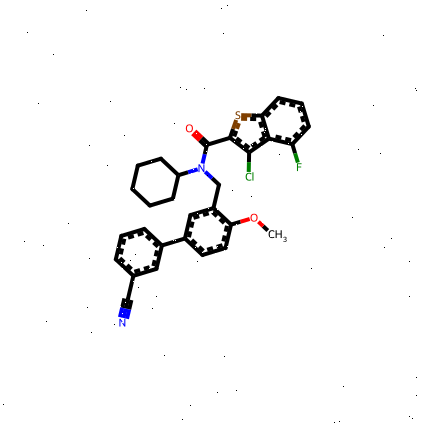 COc1ccc(-c2cccc(C#N)c2)cc1CN(C(=O)c1sc2cccc(F)c2c1Cl)C1CCCCC1